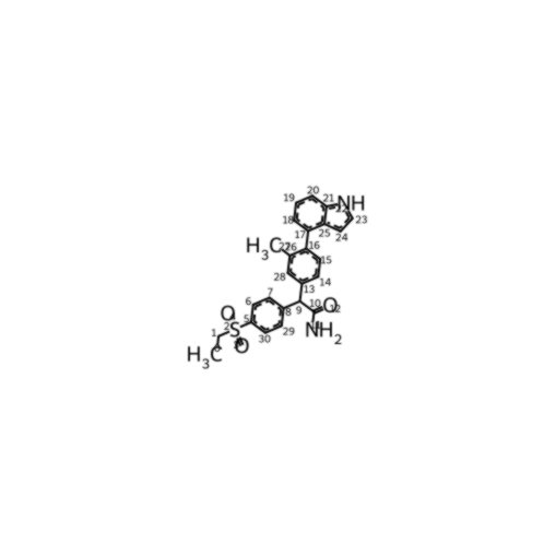 CCS(=O)(=O)c1ccc(C(C(N)=O)c2ccc(-c3cccc4[nH]ccc34)c(C)c2)cc1